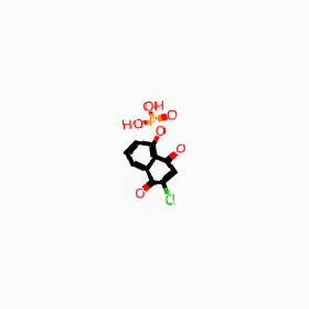 O=C1C(Cl)=CC(=O)c2c(OP(=O)(O)O)cccc21